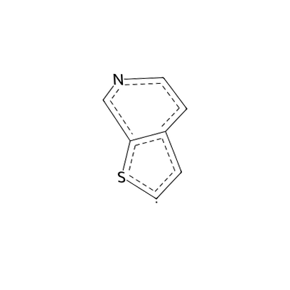 [c]1cc2ccncc2s1